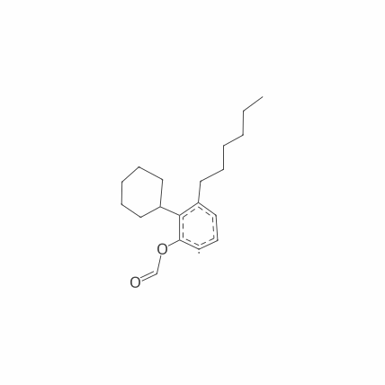 CCCCCCc1cc[c]c(OC=O)c1C1CCCCC1